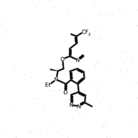 C=N/C(=C\C=C(/C)C(F)(F)F)OC[C@H](C)N(CC)C(=O)c1ccccc1-c1cnnc(C)c1